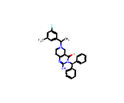 CC(c1cc(F)cc(C(F)(F)F)c1)N1CCc2nc(N)n(C(c3ccccc3)c3ccccc3)c(=O)c2C1